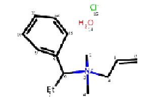 C=CC[N+](C)(C)C(CC)c1ccccc1.O.[Cl-]